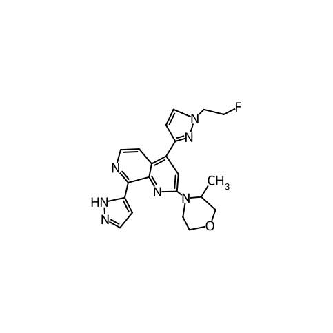 CC1COCCN1c1cc(-c2ccn(CCF)n2)c2ccnc(-c3ccn[nH]3)c2n1